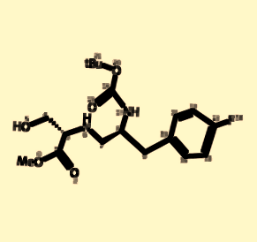 COC(=O)[C@H](CO)NC[C@H](Cc1ccc(F)cc1)NC(=O)OC(C)(C)C